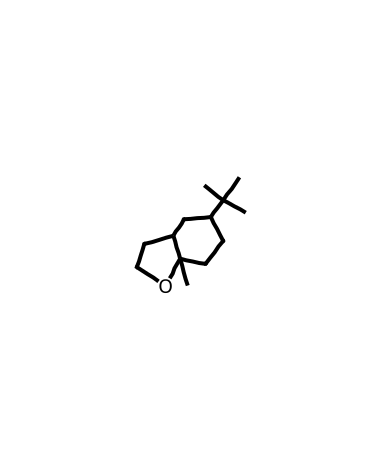 CC(C)(C)C1CCC2(C)OCCC2C1